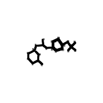 CC1CCCN(CC(C)Cc2ccc(CC(C)(C)C)cc2)C1